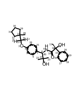 [2H]C([2H])(Oc1ccc([C@@H](NC(=O)[C@](C)(O)c2ccccc2)C(C)(C)O)cc1)C1(C)CCCC1